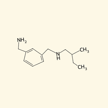 CCC(C)CNCc1cccc(CN)c1